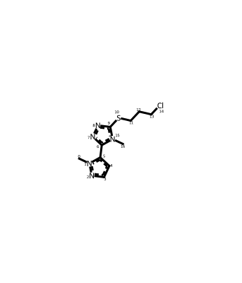 Cn1nccc1-c1nnc(SCCCCl)n1C